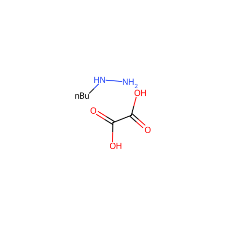 CCCCNN.O=C(O)C(=O)O